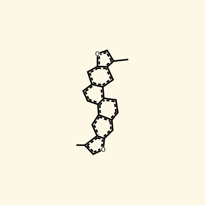 Cc1coc2cc3ccc4c5cc6c(C)coc6cc5ccc4c3cc12